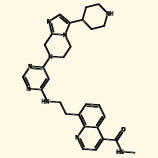 CNC(=O)c1ccnc2c(CCNc3cc(N4CCn5c(C6CCNCC6)cnc5C4)ncn3)cccc12